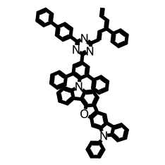 C=C/C=C(\C=C\c1nc(-c2ccc(-c3ccccc3)cc2)nc(-c2cc(-c3ccccc3)c(-n3c4ccccc4c4c5oc6cc7c(cc6c5ccc43)c3ccccc3n7-c3ccccc3)c(-c3ccccc3)c2)n1)c1ccccc1